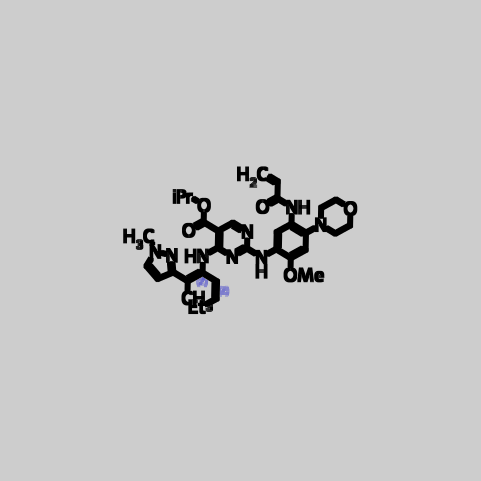 C=CC(=O)Nc1cc(Nc2ncc(C(=O)OC(C)C)c(NC(/C=C\CC)=C(/C)c3ccn(C)n3)n2)c(OC)cc1N1CCOCC1